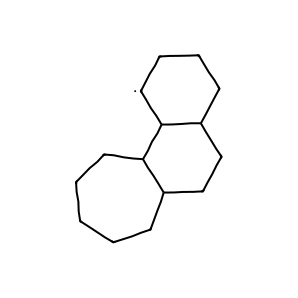 [CH]1CCCC2CCC3CCCCCC3C12